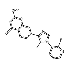 COc1cc(=O)c2ccc(-c3nnn(-c4cccnc4F)c3C)cc2o1